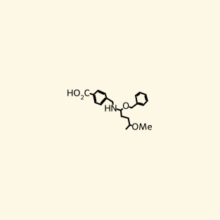 COC(C)CCC(NCc1ccc(C(=O)O)cc1)OCc1ccccc1